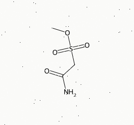 COS(=O)(=O)CC(N)=O